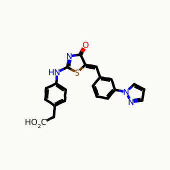 O=C(O)Cc1ccc(NC2=NC(=O)C(=Cc3cccc(-n4cccn4)c3)S2)cc1